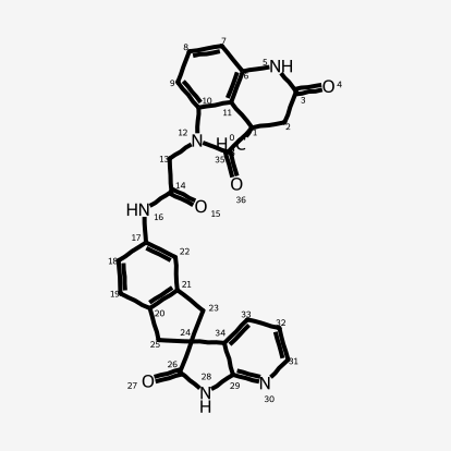 CC12CC(=O)Nc3cccc(c31)N(CC(=O)Nc1ccc3c(c1)CC1(C3)C(=O)Nc3ncccc31)C2=O